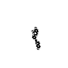 O=C1OC(c2cccc(OCc3ccc4ccc(Cl)cc4n3)c2)CCc2ccc(Cl)cc21